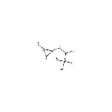 CC1CC1CC(C)C(C)(C)C